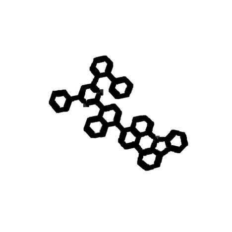 c1ccc(-c2cc(-c3ccccc3-c3ccccc3)nc(-c3ccc(-c4ccc5c6cccc7c8ccccc8n(c8cccc4c58)c67)c4ccccc34)n2)cc1